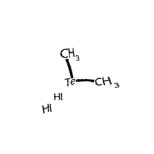 C[Te]C.I.I